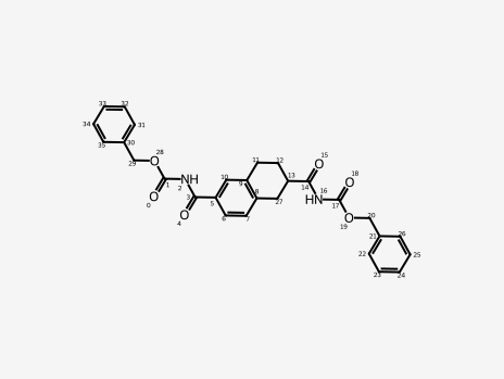 O=C(NC(=O)c1ccc2c(c1)CCC(C(=O)NC(=O)OCc1ccccc1)C2)OCc1ccccc1